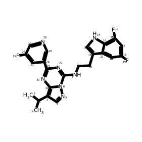 CC(C)c1cnn2c(NCCc3c[nH]c4c(F)cc(F)cc34)nc(-c3cncc(F)c3)nc12